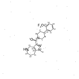 Cn1nc(C(=O)N2CCC(c3ccccc3C(F)(F)F)CC2)c2c1CCCNC2